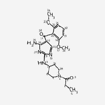 CCC(=O)N1CCC(Nc2ncc(C(=O)c3c(OC)cccc3OC)c(N)n2)CC1